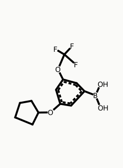 OB(O)c1cc(OC2CCCC2)cc(OC(F)(F)F)c1